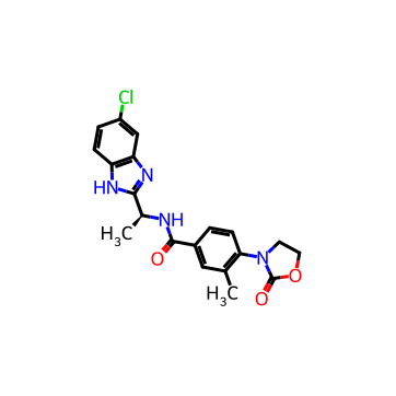 Cc1cc(C(=O)N[C@@H](C)c2nc3cc(Cl)ccc3[nH]2)ccc1N1CCOC1=O